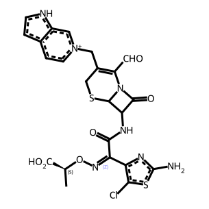 C[C@H](O/N=C(\C(=O)NC1C(=O)N2C(C=O)=C(C[n+]3ccc4cc[nH]c4c3)CSC12)c1nc(N)sc1Cl)C(=O)O